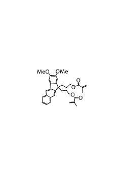 C=C(C)C(=O)OCCCC1(CCCOC(=O)C(=C)C)c2cc(OC)c(OC)cc2-c2cc3ccccc3cc21